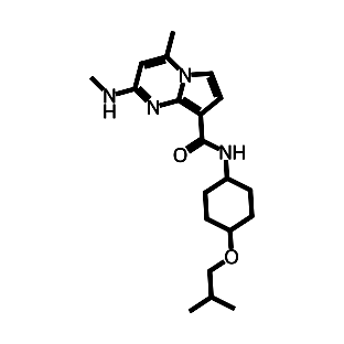 CNc1cc(C)n2ccc(C(=O)NC3CCC(OCC(C)C)CC3)c2n1